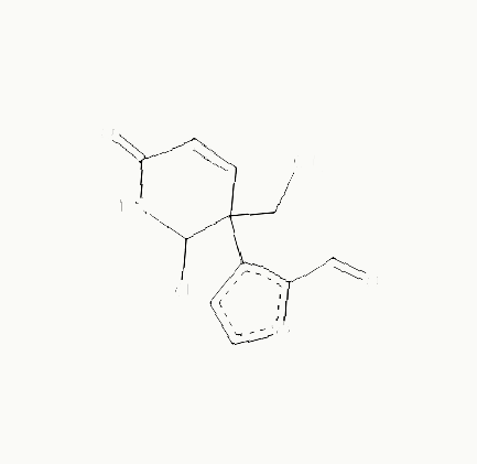 CCC1(c2ccoc2C=O)C=CC(=O)NC1C